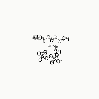 O=S(=O)([O-])OOS(=O)(=O)[O-].OCCN(CCO)CCO.[K+].[K+]